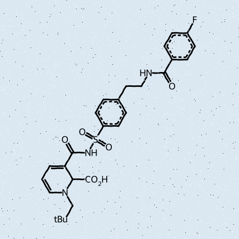 CC(C)(C)CN1C=CC=C(C(=O)NS(=O)(=O)c2ccc(CCNC(=O)c3ccc(F)cc3)cc2)C1C(=O)O